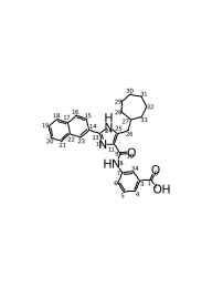 O=C(O)c1cccc(NC(=O)c2nc(-c3ccc4ccccc4c3)[nH]c2CC2CCCCCC2)c1